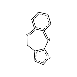 c1ccc2c(c1)=NCc1ccsc1N=2